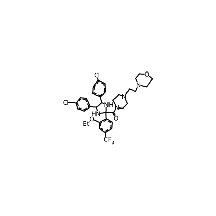 CCOc1cc(C(F)(F)F)ccc1C1(C(=O)N2CCN(CCN3CCOCC3)CC2)NC(c2ccc(Cl)cc2)C(c2ccc(Cl)cc2)N1